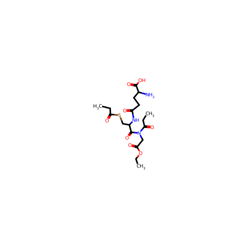 CCOC(=O)CN(C(=O)CC)C(=O)C(CSC(=O)CC)NC(=O)CCC(N)C(=O)O